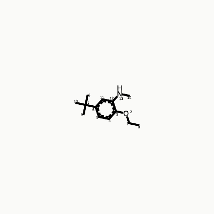 CCOc1ccc(C(C)(C)C)cc1NC